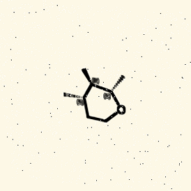 C[C@H]1[C@H](C)OCC[C@@H]1C